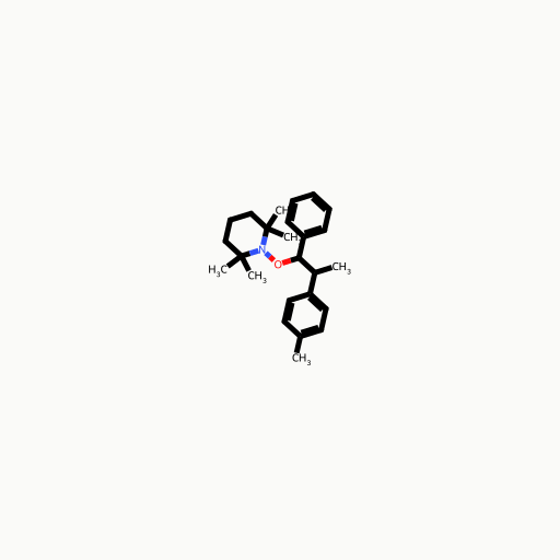 Cc1ccc(C(C)C(ON2C(C)(C)CCCC2(C)C)c2ccccc2)cc1